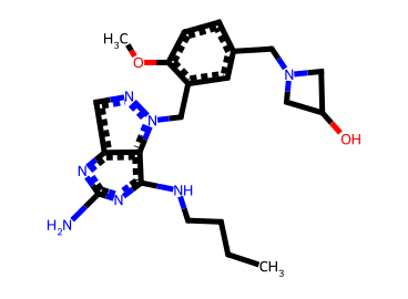 CCCCNc1nc(N)nc2cnn(Cc3cc(CN4CC(O)C4)ccc3OC)c12